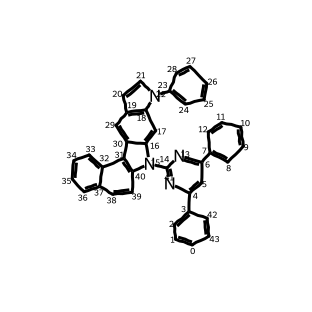 c1ccc(-c2cc(-c3ccccc3)nc(-n3c4cc5c(ccn5-c5ccccc5)cc4c4c5ccccc5ccc43)n2)cc1